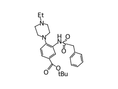 CCN1CCN(c2ccc(C(=O)OC(C)(C)C)cc2NS(=O)(=O)Cc2ccccc2)CC1